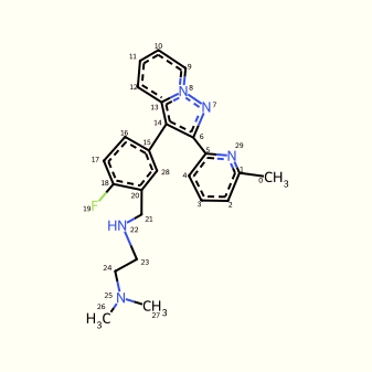 Cc1cccc(-c2nn3ccccc3c2-c2ccc(F)c(CNCCN(C)C)c2)n1